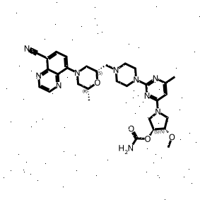 CO[C@H]1CN(c2cc(C)nc(N3CCN(C[C@H]4CN(c5ccc(C#N)c6nccnc56)C[C@@H](C)O4)CC3)n2)C[C@@H]1OC(N)=O